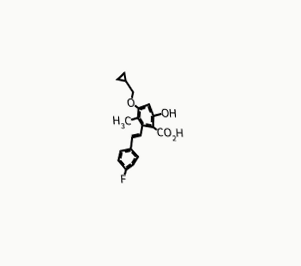 Cc1c(OCC2CC2)cc(O)c(C(=O)O)c1C=Cc1ccc(F)cc1